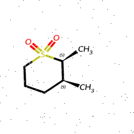 C[C@H]1CCCS(=O)(=O)[C@H]1C